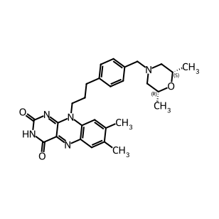 Cc1cc2nc3c(=O)[nH]c(=O)nc-3n(CCCc3ccc(CN4C[C@@H](C)O[C@@H](C)C4)cc3)c2cc1C